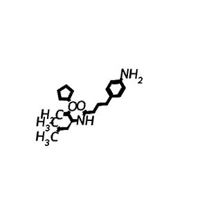 C=C(OC1CCCC1)[C@H](CC(C)C)NC(=O)CCCc1ccc(N)cc1